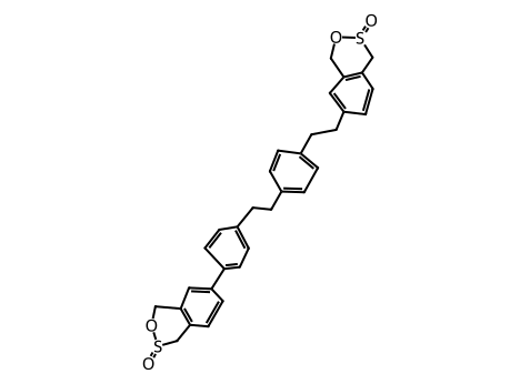 O=S1Cc2ccc(CCc3ccc(CCc4ccc(-c5ccc6c(c5)COS(=O)C6)cc4)cc3)cc2CO1